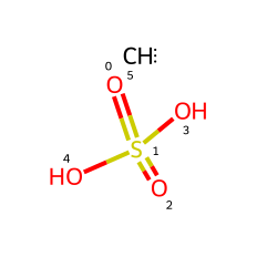 O=S(=O)(O)O.[CH]